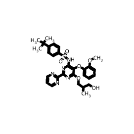 COc1ccccc1Oc1c(NS(=O)(=O)c2ccc(C(C)(C)C)cc2)nc(-c2ncccn2)nc1OCC(C)CO